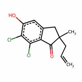 C=CCC1(C)Cc2cc(O)c(Cl)c(Cl)c2C1=O